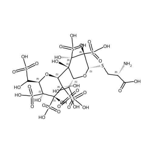 N[C@@H](CS[C@@H]1O[C@H](C(O)S(=O)(=O)O)[C@](O)([C@@H]2O[C@H](C(O)S(=O)(=O)O)[C@](O)(S(=O)(=O)O)[C@@](O)(S(=O)(=O)O)[C@]2(O)S(=O)(=O)O)[C@@](O)(S(=O)(=O)O)[C@]1(O)S(=O)(=O)O)C(=O)O